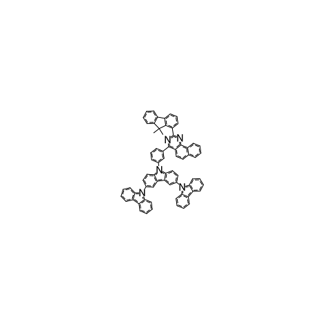 CC1(C)c2ccccc2-c2cccc(-c3nc(-c4cccc(-n5c6ccc(-n7c8ccccc8c8ccccc87)cc6c6cc(-n7c8ccccc8c8ccccc87)ccc65)c4)c4ccc5ccccc5c4n3)c21